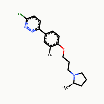 C[C@@H]1CCCN1CCCOc1ccc(-c2ccc(Cl)nn2)cc1C#N